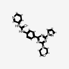 O=C(Nc1ccc(-c2nc(N3CCOCC3)nc(-n3cccn3)n2)cc1)Nc1cccnc1